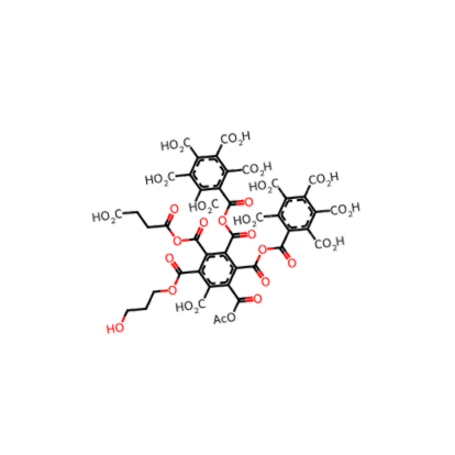 CC(=O)OC(=O)c1c(C(=O)O)c(C(=O)OCCCO)c(C(=O)OC(=O)CCC(=O)O)c(C(=O)OC(=O)c2c(C(=O)O)c(C(=O)O)c(C(=O)O)c(C(=O)O)c2C(=O)O)c1C(=O)OC(=O)c1c(C(=O)O)c(C(=O)O)c(C(=O)O)c(C(=O)O)c1C(=O)O